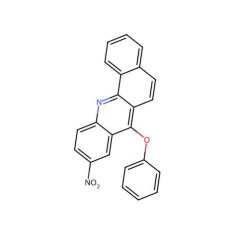 O=[N+]([O-])c1ccc2nc3c(ccc4ccccc43)c(Oc3ccccc3)c2c1